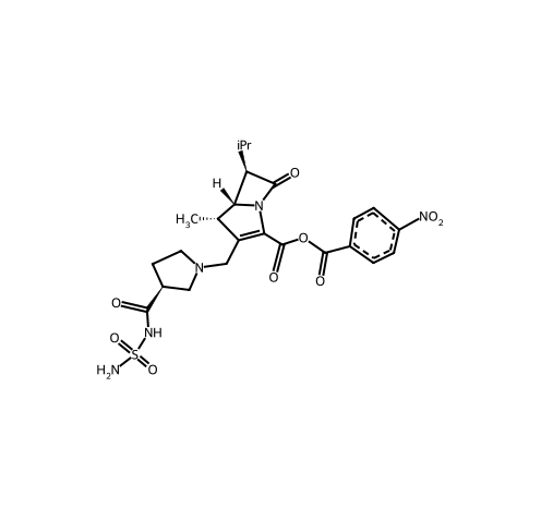 CC(C)[C@H]1C(=O)N2C(C(=O)OC(=O)c3ccc([N+](=O)[O-])cc3)=C(CN3CC[C@H](C(=O)NS(N)(=O)=O)C3)[C@H](C)[C@H]12